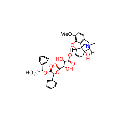 COc1ccc2c3c1O[C@H]1C(OC(=O)[C@H](O)[C@@H](O)C(=O)O[C@H](C(=O)O[C@H](C(=O)O)c4ccccc4)c4ccccc4)=CC[C@@]4(O)[C@@H](C2)N(C)CC[C@]314